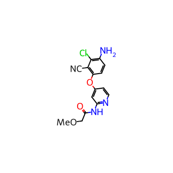 COCC(=O)Nc1cc(Oc2ccc(N)c(Cl)c2C#N)ccn1